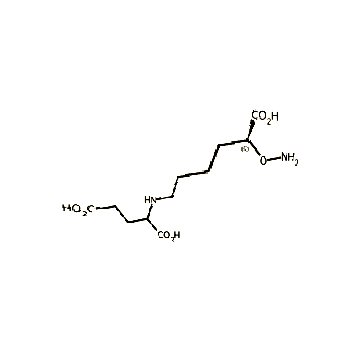 NO[C@@H](CCCCNC(CCC(=O)O)C(=O)O)C(=O)O